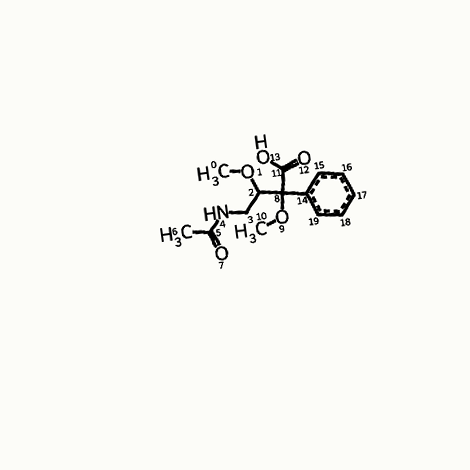 COC(CNC(C)=O)C(OC)(C(=O)O)c1ccccc1